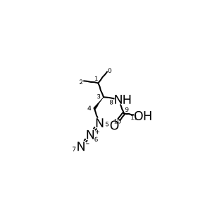 CC(C)[C@H](CN=[N+]=[N-])NC(=O)O